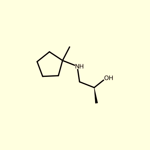 C[C@H](O)CNC1(C)CCCC1